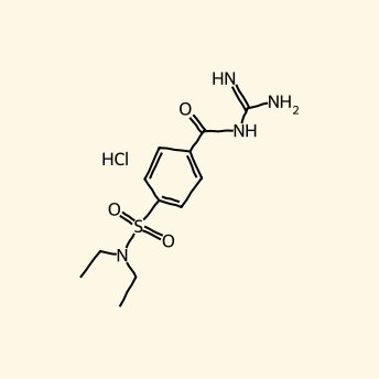 CCN(CC)S(=O)(=O)c1ccc(C(=O)NC(=N)N)cc1.Cl